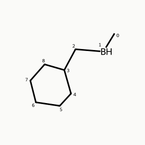 CBCC1CCCCC1